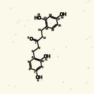 O=C(CCc1ccc(O)cc1O)CCc1ccc(O)cc1O